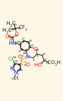 CCn1cc(S(=O)(=O)N2CC(CC(O)C(=O)O)Oc3ccc(NC(=O)OC(C)(C)C(F)(F)F)cc32)c(Cl)n1